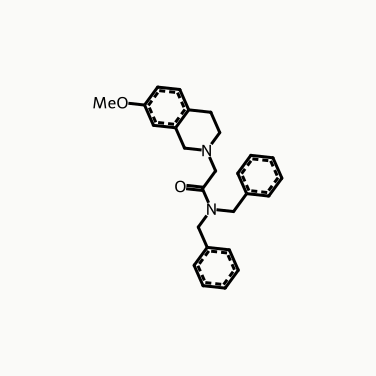 COc1ccc2c(c1)CN(CC(=O)N(Cc1ccccc1)Cc1ccccc1)CC2